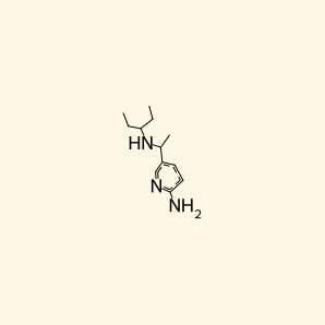 CCC(CC)NC(C)c1ccc(N)nc1